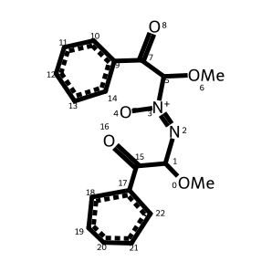 COC(N=[N+]([O-])C(OC)C(=O)c1ccccc1)C(=O)c1ccccc1